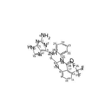 Nc1nc(NCc2nc3cccc(C(F)(F)F)c3c(=O)n2-c2ccccc2)c2nc[nH]c2n1